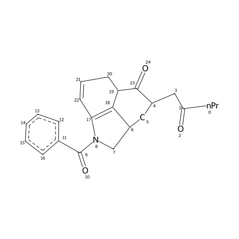 CCCC(=O)CC1CC2CN(C(=O)c3ccccc3)C3=C2C(CC=C3)C1=O